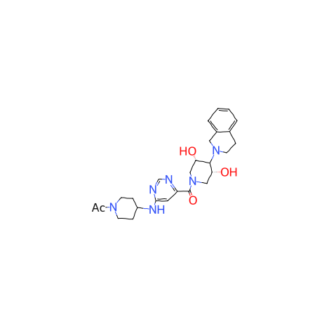 CC(=O)N1CCC(Nc2cc(C(=O)N3C[C@@H](O)C(N4CCc5ccccc5C4)[C@@H](O)C3)ncn2)CC1